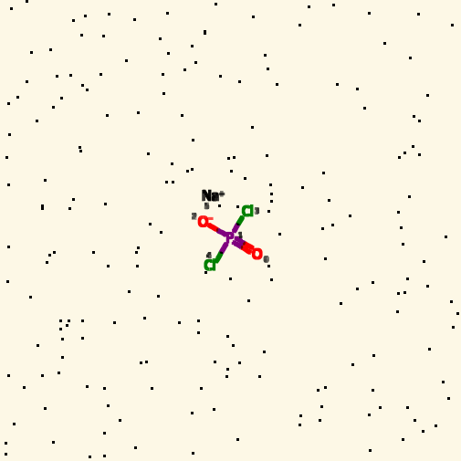 O=P([O-])(Cl)Cl.[Na+]